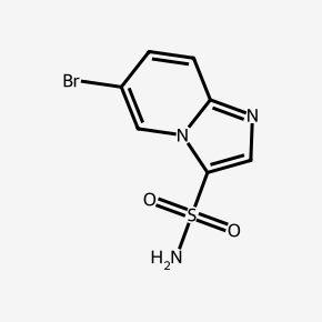 NS(=O)(=O)c1cnc2ccc(Br)cn12